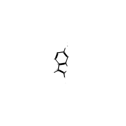 CCOC(=O)c1oc2cc(Br)ccc2c1CC